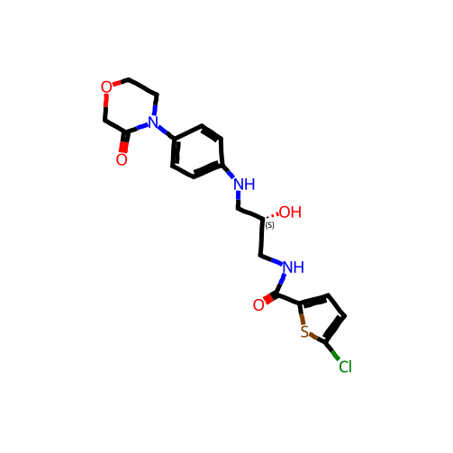 O=C(NC[C@@H](O)CNc1ccc(N2CCOCC2=O)cc1)c1ccc(Cl)s1